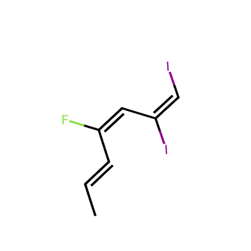 C/C=C/C(F)=C\C(I)=C/I